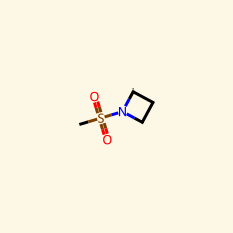 CS(=O)(=O)N1[CH]CC1